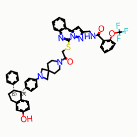 O=C(NCc1cc2c3ccccc3nc(SCC(=O)N3CCC4(CC3)CN(c3ccc([C@@H]5c6ccc(O)cc6CC[C@@H]5c5ccccc5)cc3)C4)n2n1)c1ccccc1OC(F)(F)F